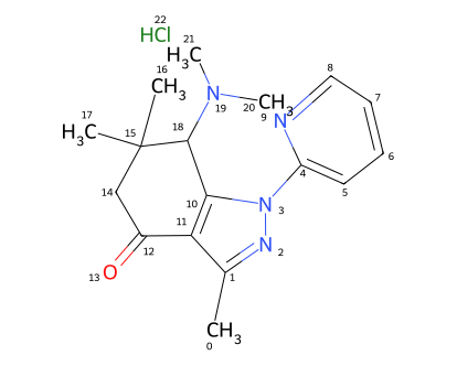 Cc1nn(-c2ccccn2)c2c1C(=O)CC(C)(C)C2N(C)C.Cl